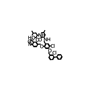 CC(C)CC(NC(=O)C(CC(C)C)NCc1cc(Cl)c(OCc2cccc(-c3ccccc3)c2Cl)cc1OCc1ccc2nonc2c1)C(=O)O